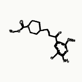 COc1nc(N)c(Cl)cc1C(=O)CCC1CCN(C(=O)OC(C)(C)C)CC1